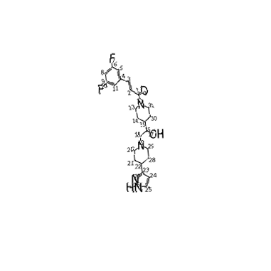 O=C(C=Cc1cc(F)cc(F)c1)N1CCC(C(O)CN2CCC(c3cc[nH]n3)CC2)CC1